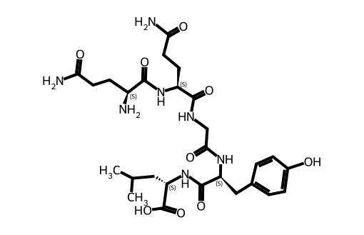 CC(C)C[C@H](NC(=O)[C@H](Cc1ccc(O)cc1)NC(=O)CNC(=O)[C@H](CCC(N)=O)NC(=O)[C@@H](N)CCC(N)=O)C(=O)O